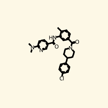 Cc1ccc(C(=O)N2CCC(c3ccc(Cl)cc3)CC2)cc1NC(=O)c1ccc(N(C)C)nc1